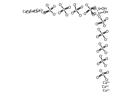 O=S(=O)(O)O.O=S(=O)(O)O.O=S(=O)([O-])[O-].O=S(=O)([O-])[O-].O=S(=O)([O-])[O-].O=S(=O)([O-])[O-].O=S(=O)([O-])[O-].O=S(=O)([O-])[O-].O=S(=O)([O-])[O-].O=S(=O)([O-])[O-].O=S(=O)([O-])[O-].[Ca+2].[Ca+2].[Ca+2].[Ca+2].[Ca+2].[Ca+2].[Ca+2].[Ca+2].[Ca+2]